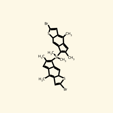 CC1=C([Si](C)(C)C2=C(C)C=C3C2=CC2SC(Br)=CC2=C3C)C2=CC3SC(Br)=CC3=C(C)C2=C1